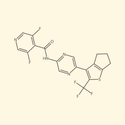 O=C(Nc1cnc(-c2c(C(F)(F)F)sc3c2CCC3)cn1)c1c(F)cncc1F